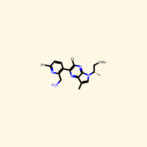 CCc1nc2c(nc1-c1ccc(C(C)C)nc1CN)c(C)cn2[C@@H](C)COC